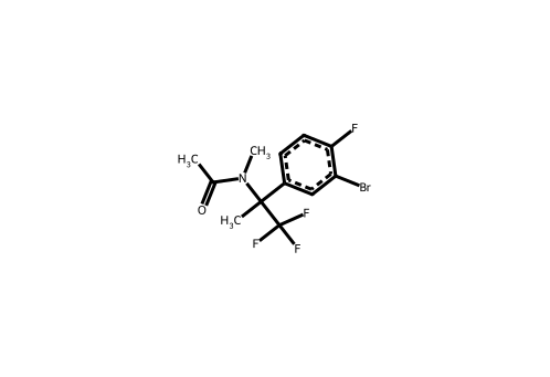 CC(=O)N(C)C(C)(c1ccc(F)c(Br)c1)C(F)(F)F